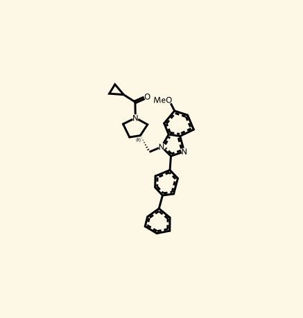 COc1ccc2nc(-c3ccc(-c4ccccc4)cc3)n(C[C@@H]3CCN(C(=O)C4CC4)C3)c2c1